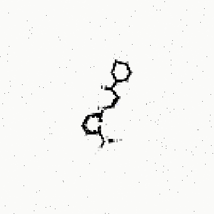 O=C(/C=C\Nc1cccc([N+](=O)[O-])c1)C1CCCCC1